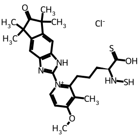 COc1cc[n+](-c2nc3cc4c(cc3[nH]2)C(C)(C)C(=O)C4(C)C)c(CCC[C@H](NS)C(O)=S)c1C.[Cl-]